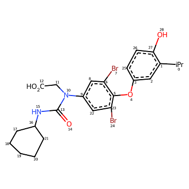 CC(C)c1cc(Oc2c(Br)cc(N(CC(=O)O)C(=O)NC3CCCCC3)cc2Br)ccc1O